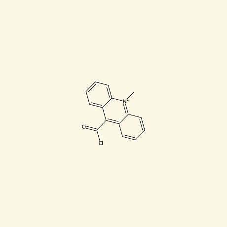 C[n+]1c2ccccc2c(C(=O)Cl)c2ccccc21